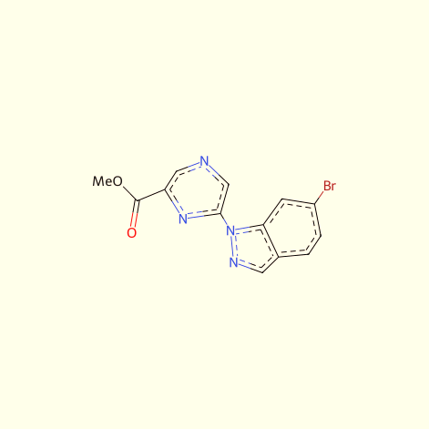 COC(=O)c1cncc(-n2ncc3ccc(Br)cc32)n1